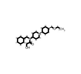 CCOC[C@H]1CC[C@@H](N2CCC(N(CC3CCCCC3)C(=O)CO)CC2)CC1